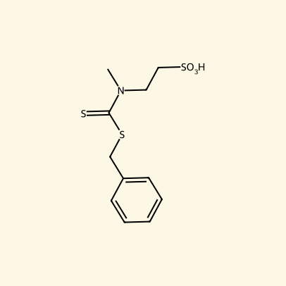 CN(CCS(=O)(=O)O)C(=S)SCc1ccccc1